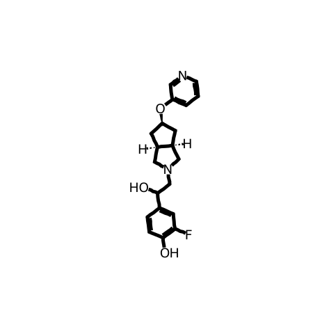 Oc1ccc(C(O)CN2C[C@H]3C[C@@H](Oc4cccnc4)C[C@H]3C2)cc1F